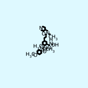 CCN(Cc1ccncc1)C(=O)C=Cc1cc(C)c(N(C)S(=O)(=O)c2ccc(OC)cc2)c(C(=O)NO)c1